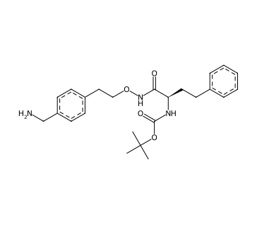 CC(C)(C)OC(=O)N[C@H](CCc1ccccc1)C(=O)NOCCc1ccc(CN)cc1